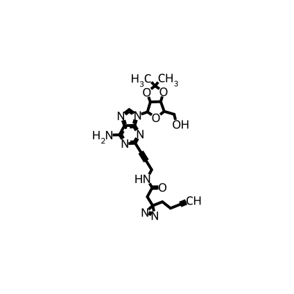 C#CCCC1(CC(=O)NCC#Cc2nc(N)c3ncn(C4OC(CO)C5OC(C)(C)OC54)c3n2)N=N1